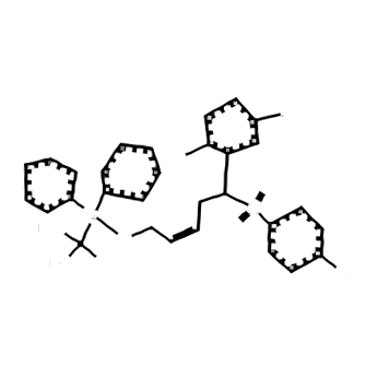 CC(C)(C)[Si](OC/C=C\CC(c1cc(F)ccc1F)S(=O)(=O)c1ccc(Cl)cc1)(c1ccccc1)c1ccccc1